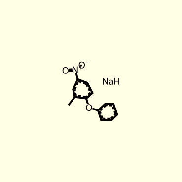 Cc1cc([N+](=O)[O-])ccc1Oc1ccccc1.[NaH]